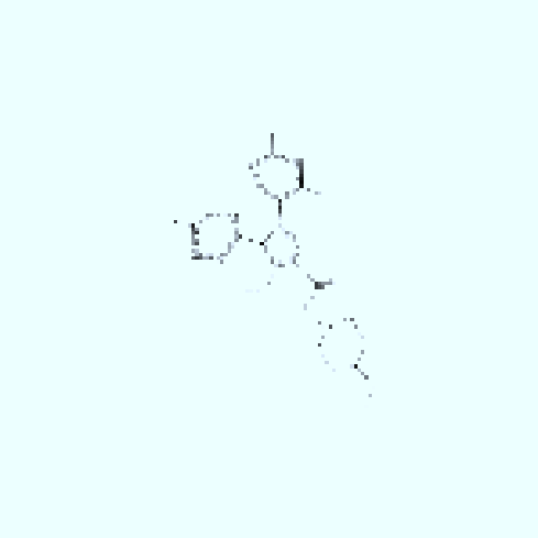 COc1c(C(=O)NN2CCC(O[N+](=O)[O-])CC2)nn(-c2ccc(Cl)cc2Cl)c1-c1ccc(Br)cc1